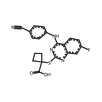 N#Cc1ccc(Nc2nc(SC3(C(=O)O)CCC3)nc3cc(F)ccc23)cc1